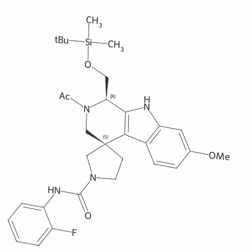 COc1ccc2c3c([nH]c2c1)[C@H](CO[Si](C)(C)C(C)(C)C)N(C(C)=O)C[C@]31CCN(C(=O)Nc2ccccc2F)C1